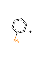 Pc1ccccc1.[H+]